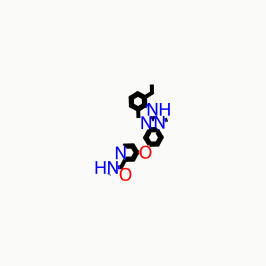 CCc1cccc(C)c1Nc1nc2cc(Oc3ccnc(C(=O)NC)c3)ccc2n1C